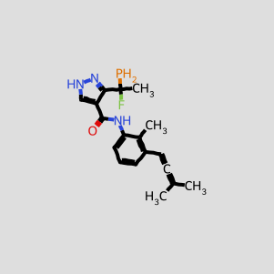 CC(C)=C=Cc1cccc(NC(=O)c2c[nH]nc2C(C)(F)P)c1C